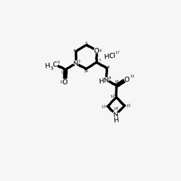 CC(=O)N1CCOC(CNC(=O)C2CNC2)C1.Cl